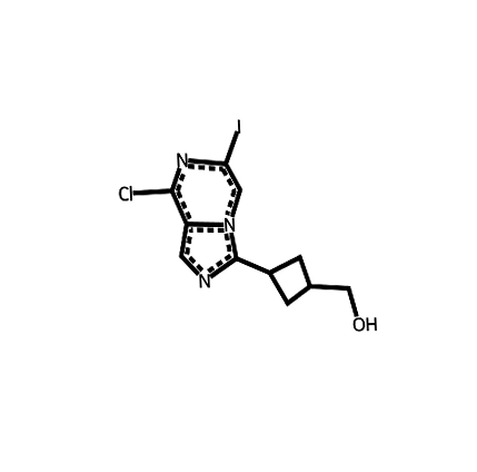 OCC1CC(c2ncc3c(Cl)nc(I)cn23)C1